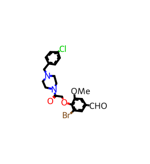 COc1cc(C=O)cc(Br)c1OCC(=O)N1CCN(Cc2ccc(Cl)cc2)CC1